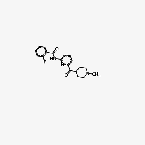 CN1CCC(C(=O)c2cccc(NC(=O)c3ccccc3F)n2)CC1